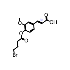 COc1cc(/C=C/C(=O)O)ccc1OC(=O)CCCBr